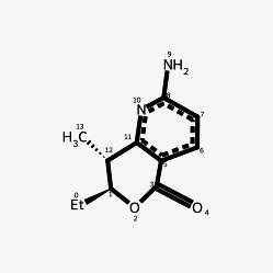 CC[C@@H]1OC(=O)c2ccc(N)nc2[C@H]1C